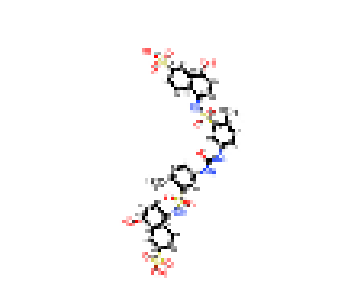 Cc1ccc(NC(=O)Nc2ccc(C)c(S(=O)(=O)Nc3ccc(O)c4cc(S(=O)(=O)O)ccc34)c2)cc1S(=O)(=O)Nc1ccc(O)c2cc(S(=O)(=O)O)ccc12